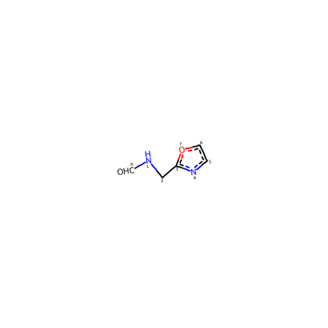 O=CNCc1ncco1